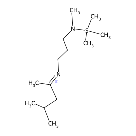 C/C(CC(C)C)=N\CCCN(C)S(C)(C)C